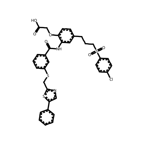 O=C(O)COc1ccc(CCCS(=O)(=O)c2ccc(Cl)cc2)cc1NC(=O)c1cccc(SCc2ncc(-c3ccccc3)s2)c1